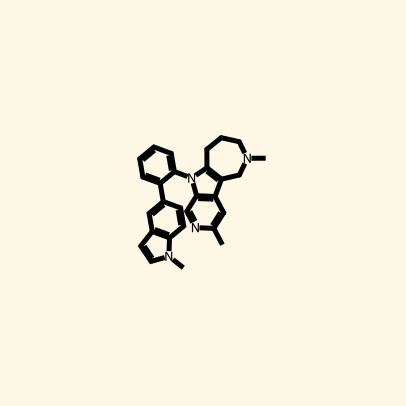 Cc1cc2c3c(n(-c4ccccc4-c4ccc5c(ccn5C)c4)c2cn1)CCCN(C)C3